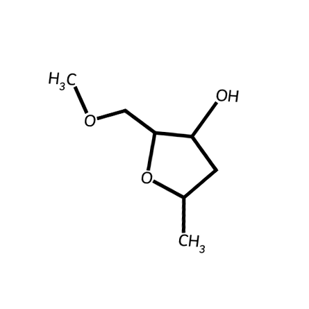 COCC1OC(C)CC1O